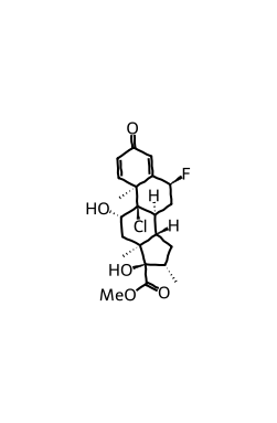 COC(=O)[C@@]1(O)[C@@H](C)C[C@H]2[C@@H]3C[C@H](F)C4=CC(=O)C=C[C@]4(C)[C@@]3(Cl)[C@@H](O)C[C@@]21C